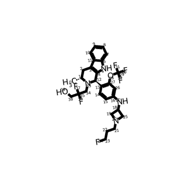 C[C@@H]1Cc2c([nH]c3ccccc23)[C@@H](c2ccc(NC3CN(CCCF)C3)cc2OC(F)(F)F)N1CC(F)(F)CO